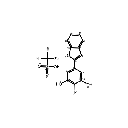 CC(C)c1c(O)cc(-c2cc3ccccc3o2)cc1O.O=S(=O)(O)C(F)(F)F